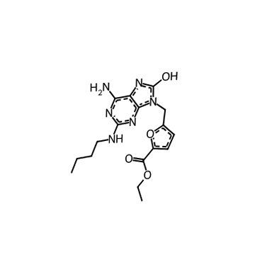 CCCCNc1nc(N)c2nc(O)n(Cc3ccc(C(=O)OCC)o3)c2n1